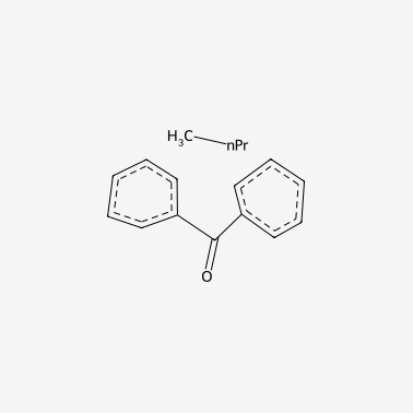 CCCC.O=C(c1ccccc1)c1ccccc1